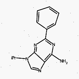 CC(C)n1cnc2c(N)nc(-c3ccccc3)nc21